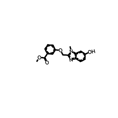 COC(=O)c1cccc(OCc2nc3ccc(O)cc3n2C)c1